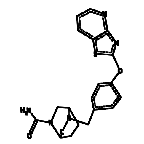 NC(=O)N1CC2CCC1CN2Cc1ccc(Oc2nc3ncccc3s2)cc1